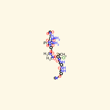 Cc1csc2c(OC(=O)N(C)CCN(C)C(=O)OCc3ccc(N(C(=O)[C@@H](NC(=O)CCCCCN4C(=O)C=CC4=O)C(C)C)[C@@H](CCCNC(N)=O)C(N)=O)cc3)cc3c(c12)[C@H](CCl)CN3C(=O)c1cc2cc(NC(=O)c3cc4cc(OCCN5CCCC5)ccc4[nH]3)ccc2[nH]1